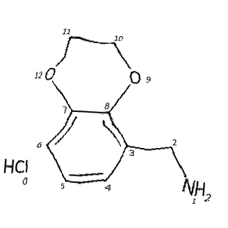 Cl.NCc1cccc2c1OCCO2